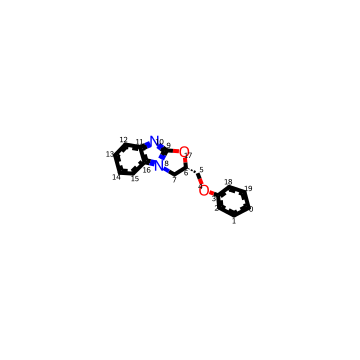 c1ccc(OC[C@@H]2Cn3c(nc4ccccc43)O2)cc1